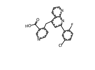 O=C(O)c1cnccc1Cc1cc(-c2cc(Cl)ccc2F)nc2ncccc12